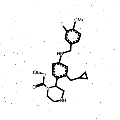 COc1ccc(CNc2ccc(C3CNCCN3C(=O)OC(C)(C)C)c(CC3CC3)c2)cc1F